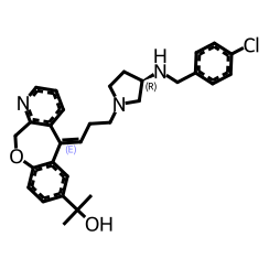 CC(C)(O)c1ccc2c(c1)/C(=C/CCN1CC[C@@H](NCc3ccc(Cl)cc3)C1)c1cccnc1CO2